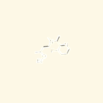 C=C(C1=NC=CCC1F)N(C)C=CC(C)OCC